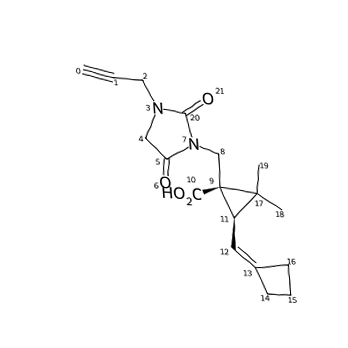 C#CCN1CC(=O)N(C[C@@]2(C(=O)O)[C@H](C=C3CCC3)C2(C)C)C1=O